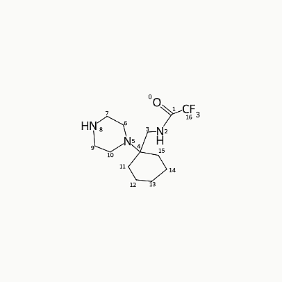 O=C(NCC1(N2CCNCC2)CCCCC1)C(F)(F)F